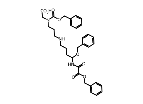 O=C(O)CN(CCCNCCCC(NC(=O)C(=O)OCc1ccccc1)OCc1ccccc1)C(=O)OCc1ccccc1